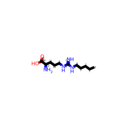 CCCCCNC(=N)NCCCC(N)C(=O)O